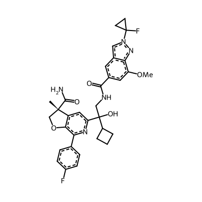 COc1cc(C(=O)NCC(O)(c2cc3c(c(-c4ccc(F)cc4)n2)OC[C@]3(C)C(N)=O)C2CCC2)cc2cn(C3(F)CC3)nc12